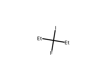 CCC(F)(I)CC